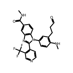 CNC(=O)c1ccc2c(c1)nc(-c1ccncc1C(F)(F)F)n2-c1ccc(NC)c(CCC=O)c1